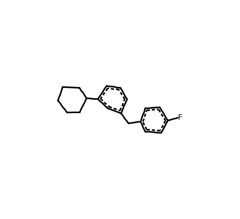 Fc1ccc(Cc2cccc(C3CCCCC3)c2)cc1